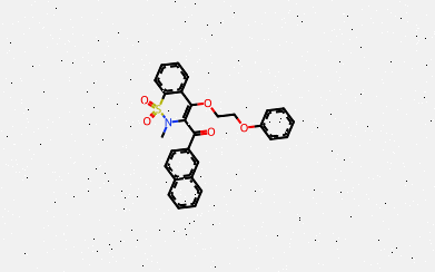 CN1C(C(=O)c2ccc3ccccc3c2)=C(OCCOc2ccccc2)c2ccccc2S1(=O)=O